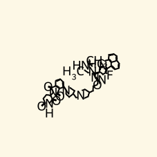 C#Cc1cccc2cccc(-c3ncc4c(N5CC(C)NC(C)C5)nc(OCCC5CCN(CC6CCN(c7cccc8c7C(=O)N(C7CCC(=O)NC7=O)C8=O)CC6)CC5)nc4c3F)c12